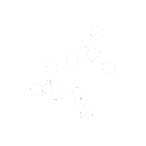 c1ccc(-c2nc(-c3ccccc3)nc(-c3ccc(-c4cccc(-n5c6ccccc6c6ccc(-c7cccc8c7sc7ccccc78)cc65)c4)cc3)n2)cc1